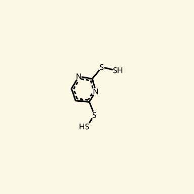 SSc1ccnc(SS)n1